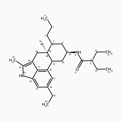 CCCN1C[C@@H](NC(=O)N(CC)CC)CC2c3cc(CC)cc4[nH]c(C)c(c34)C[C@H]21